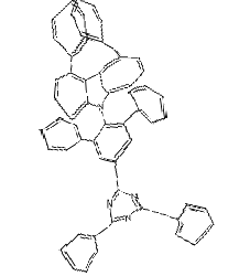 c1ccc(-c2nc(-c3ccccc3)nc(-c3cc(-c4ccccc4)c(-n4c5cccc(-c6ccccc6)c5c5c(-c6ccccc6)cccc54)c(-c4ccccc4)c3)n2)cc1